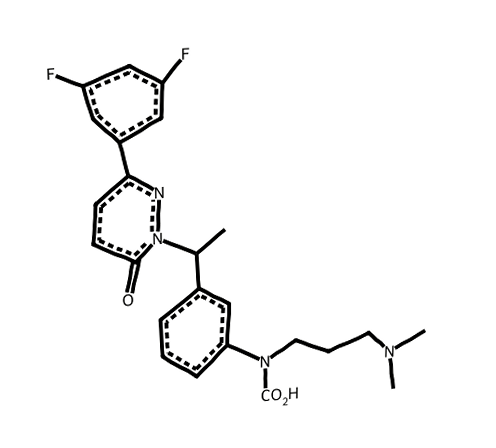 CC(c1cccc(N(CCCN(C)C)C(=O)O)c1)n1nc(-c2cc(F)cc(F)c2)ccc1=O